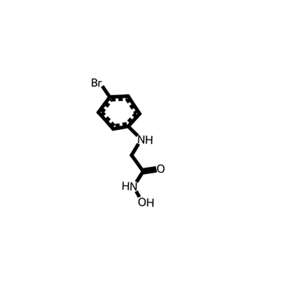 O=C(CNc1ccc(Br)cc1)NO